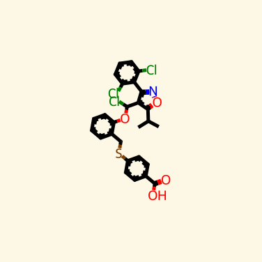 CC(C)c1onc(-c2c(Cl)cccc2Cl)c1C(Cl)Oc1ccccc1CSc1ccc(C(=O)O)cc1